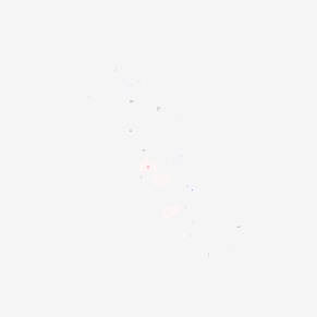 O=C(NC(=O)c1c(Cl)cccc1Cl)Nc1ccc(-c2ncc(Cl)cc2Cl)c(Cl)c1O